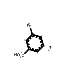 CCc1cccc(C(=O)O)c1.[Tl]